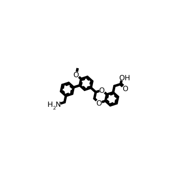 COc1ccc(C2COc3cccc(CC(=O)O)c3O2)cc1-c1cccc(CN)c1